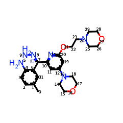 Cc1ccc(N)c(/C(=N\N)c2cc(N3CCOCC3)cc(OCCN3CCOCC3)n2)c1